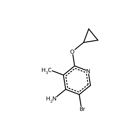 Cc1c(OC2CC2)ncc(Br)c1N